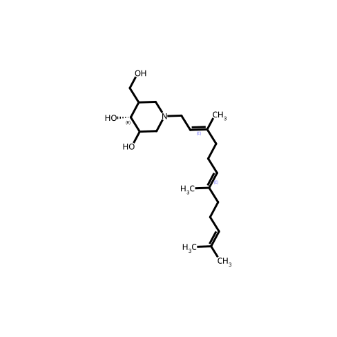 CC(C)=CCC/C(C)=C/CC/C(C)=C/CN1CC(O)[C@H](O)C(CO)C1